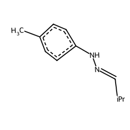 Cc1ccc(NN=CC(C)C)cc1